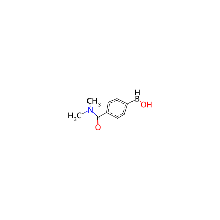 CN(C)C(=O)c1ccc(BO)cc1